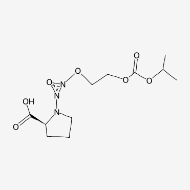 CC(C)OC(=O)OCCOn1on1N1CCC[C@H]1C(=O)O